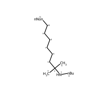 [CH2]CCCNC(C)(C)CCCCCCCCCCCCCCC